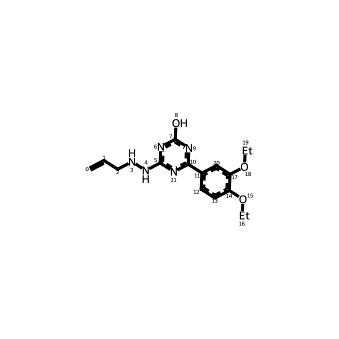 C=CCNNc1nc(O)nc(-c2ccc(OCC)c(OCC)c2)n1